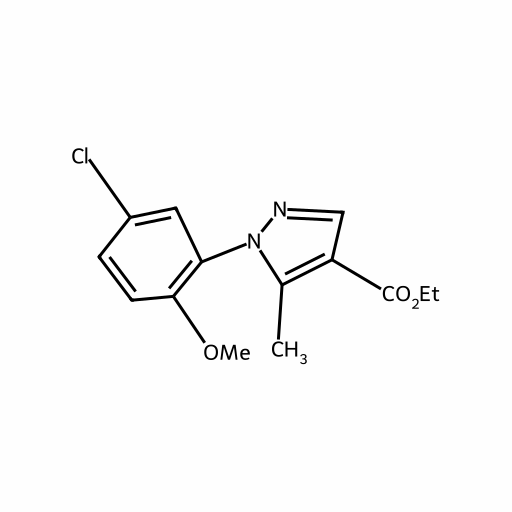 CCOC(=O)c1cnn(-c2cc(Cl)ccc2OC)c1C